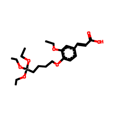 CCOc1cc(C=CC(=O)O)ccc1OCCCC[Si](OCC)(OCC)OCC